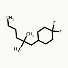 CCCCC(C)(C)CC1CCC(F)(F)CC1